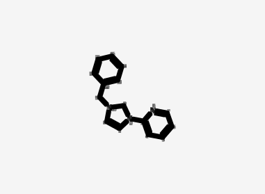 C1=CN(c2ccccn2)CN1Cc1ccccc1